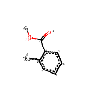 CC(C)(C)OC(=O)c1cc[c]cc1C(C)(C)C